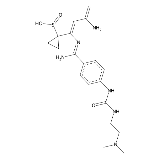 C=C(N)/C=C(\N=C(/N)c1ccc(NC(=O)NCCN(C)C)cc1)C1(S(=O)O)CC1